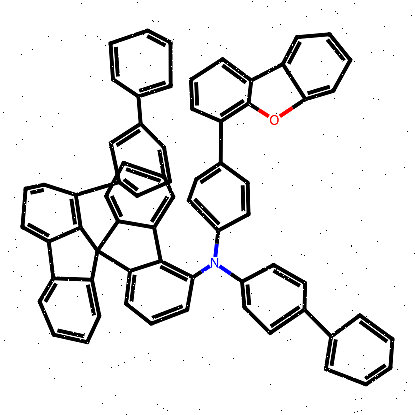 c1ccc(-c2ccc(N(c3ccc(-c4cccc5c4oc4ccccc45)cc3)c3cccc4c3-c3ccccc3C43c4ccccc4-c4cccc(-c5cccc(-c6ccccc6)c5)c43)cc2)cc1